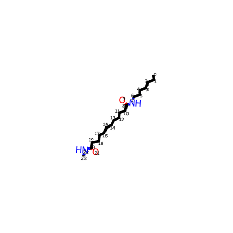 CCCCCCCNC(=O)CCCCCCCCCCC(=O)NC